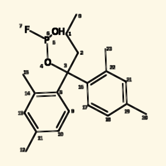 CCCC(OP(O)F)(c1ccc(C)cc1C)c1ccc(C)cc1C